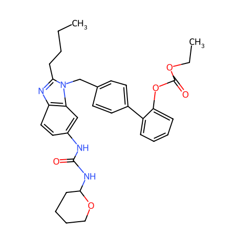 CCCCc1nc2ccc(NC(=O)NC3CCCCO3)cc2n1Cc1ccc(-c2ccccc2OC(=O)OCC)cc1